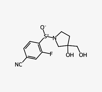 N#Cc1ccc([S+]([O-])N2CCC(O)(CO)C2)c(F)c1